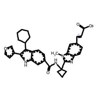 Cn1c(C2(NC(=O)c3ccc4c(C5CCCCC5)c(-c5ccoc5)[nH]c4c3)CCC2)nc2ccc(/C=C/C(=O)O)cc21